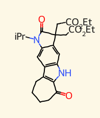 CCOC(=O)CC1(CC(=O)OCC)C(=O)N(C(C)C)c2cc3c4c([nH]c3cc21)C(=O)CCCC4